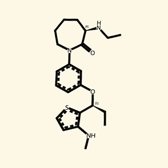 CCN[C@@H]1CCCCN(c2cccc(O[C@@H](CC)c3sccc3NC)c2)C1=O